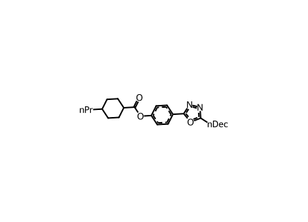 CCCCCCCCCCc1nnc(-c2ccc(OC(=O)C3CCC(CCC)CC3)cc2)o1